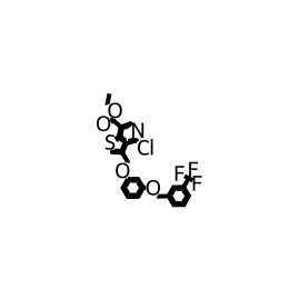 CCOC(=O)c1cnc(Cl)c2c(COc3cccc(OCc4cccc(C(F)(F)F)c4)c3)csc12